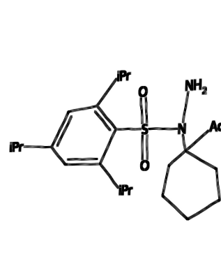 CC(=O)C1(N(N)S(=O)(=O)c2c(C(C)C)cc(C(C)C)cc2C(C)C)CCCCC1